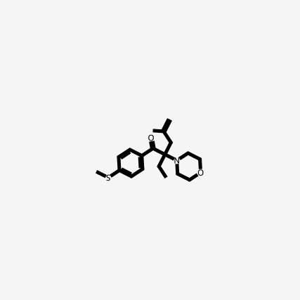 C=C(C)CC(CC)(C(=O)c1ccc(SC)cc1)N1CCOCC1